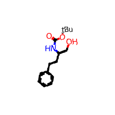 CC(C)(C)OC(=O)NC(CO)CCc1ccccc1